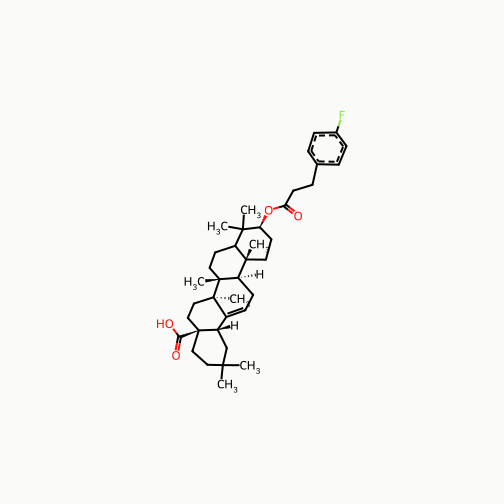 CC1(C)CC[C@]2(C(=O)O)CC[C@]3(C)C(=CC[C@@H]4[C@@]5(C)CC[C@H](OC(=O)CCc6ccc(F)cc6)C(C)(C)C5CC[C@]43C)[C@@H]2C1